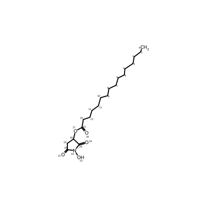 CCCCCCCCCCCCCCCC(=O)OC1CC(=O)N(O)C1=O